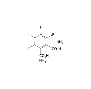 N.N.O=C(O)c1c(F)c(F)c(F)c(F)c1C(=O)O